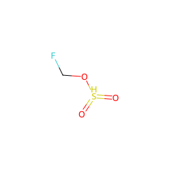 O=[SH](=O)OCF